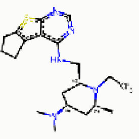 C[C@H]1C[C@@H](N(C)C)C[C@@H](CNc2ncnc3sc4c(c23)CCC4)N1CC(F)(F)F